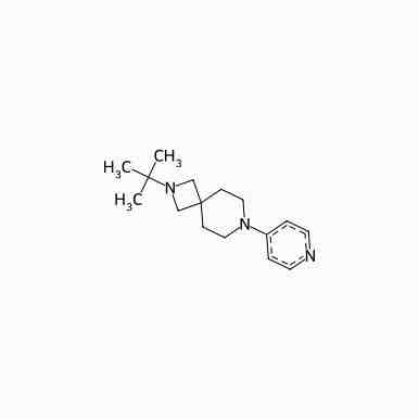 CC(C)(C)N1CC2(CCN(c3ccncc3)CC2)C1